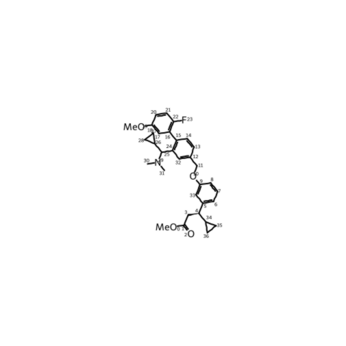 COC(=O)C[C@@H](c1cccc(OCc2ccc(-c3cc(OC)ccc3F)c(C(C3CC3)N(C)C)c2)c1)C1CC1